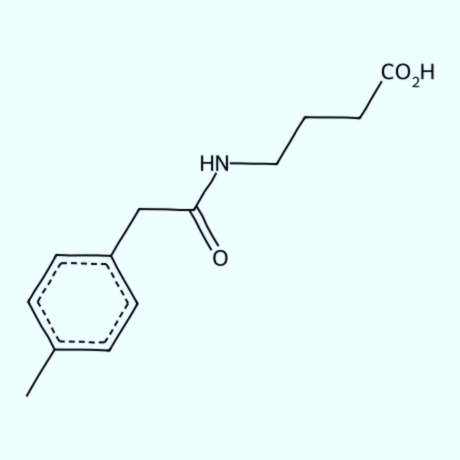 Cc1ccc(CC(=O)NCCCC(=O)O)cc1